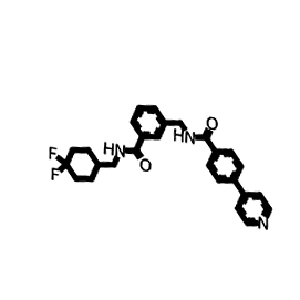 O=C(NCc1cccc(C(=O)NCC2CCC(F)(F)CC2)c1)c1ccc(-c2ccncc2)cc1